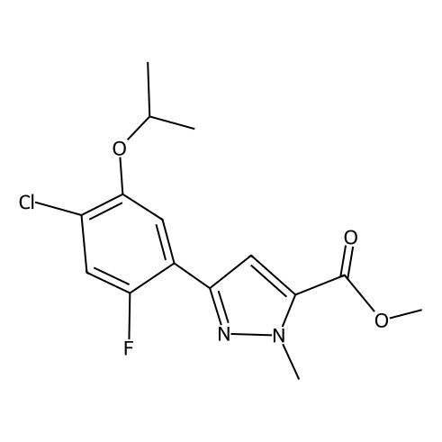 COC(=O)c1cc(-c2cc(OC(C)C)c(Cl)cc2F)nn1C